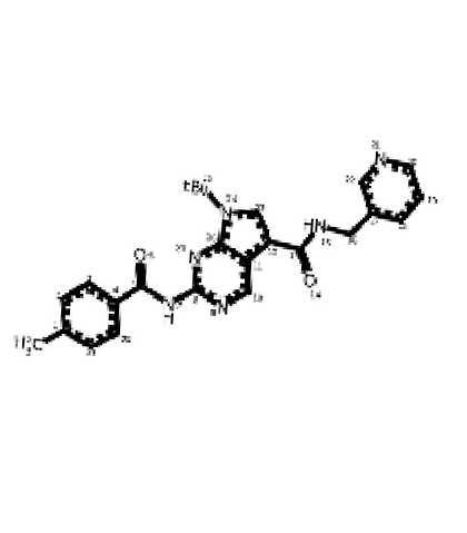 Cc1ccc(C(=O)Nc2ncc3c(C(=O)NCc4cccnc4)cn(C(C)(C)C)c3n2)cc1